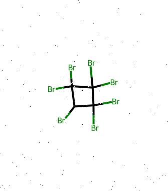 BrC1C(Br)(Br)C(Br)(Br)C1(Br)Br